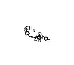 COc1ccc(CC#Cc2cc3c(=O)n(Cc4ccc(F)cc4)cnc3o2)cc1